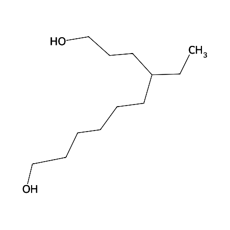 CCC(CCCO)CCCCCCO